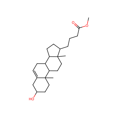 COC(=O)CCCC1CCC2C3CC=C4CC(O)CCC4(C)C3CCC12C